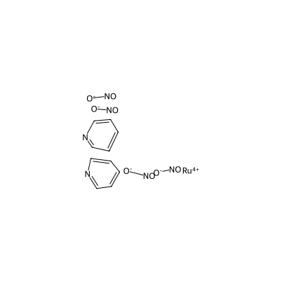 O=N[O-].O=N[O-].O=N[O-].O=N[O-].[Ru+4].c1ccncc1.c1ccncc1